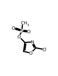 CS(=O)(=O)Oc1coc(Cl)n1